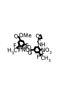 COC(=O)c1cc(F)c([N+](=O)[O-])c(C(C)(F)F)c1.COC(=O)c1cc(NC[C@@H]2CCO2)c([N+](=O)[O-])c(C(C)(F)F)c1